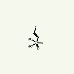 CS(=O)(O)(O)C=CF